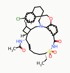 CC[C@@H]1CC/C=C/[C@H](NC(C)=O)[C@@H]2CC(C)C2CN2C[C@@]3(CCCc4cc(Cl)ccc43)COc3ccc(cc32)C(=O)NS1(=O)=O